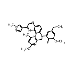 CCc1cc(OC)c(F)c(N(Cc2nc(C)cc(OC)n2)c2ccc3ncc(-c4cnn(C)c4)nc3n2)c1